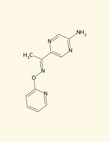 C/C(=N\Oc1ccccn1)c1cnc(N)cn1